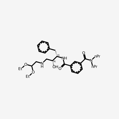 CCCN(CCC)C(=O)c1cccc(C(=O)N[C@@H](Cc2ccccc2)[C@H](O)CNCC(OCC)OCC)c1